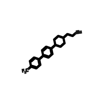 CCC(C)CCC1CCC(c2ccc(-c3ccc(C(F)(F)F)cc3)cc2)CC1